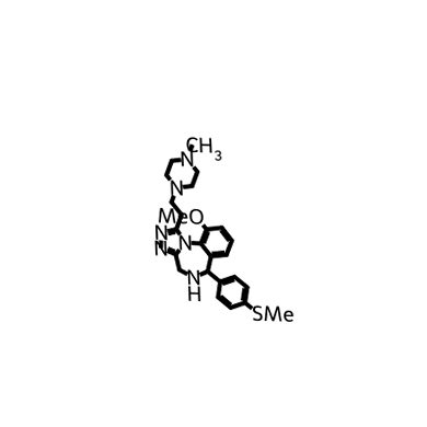 COc1cccc2c1-n1c(CCN3CCN(C)CC3)nnc1CNC2c1ccc(SC)cc1